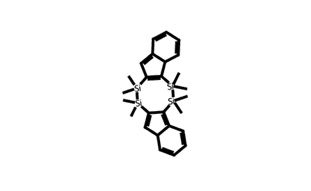 C[Si]1(C)C2=CC3C=CC=CC3=C2[Si](C)(C)[Si](C)(C)C2=C(C=C3C=CC=CC32)[Si]1(C)C